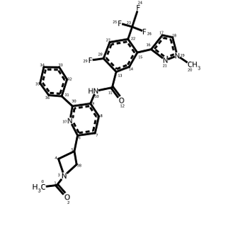 CC(=O)N1CC(c2ccc(NC(=O)c3cc(-c4ccn(C)n4)c(C(F)(F)F)cc3F)c(-c3ccccc3)n2)C1